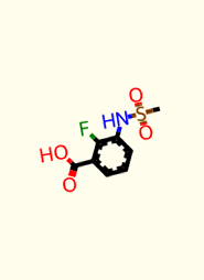 CS(=O)(=O)Nc1cccc(C(=O)O)c1F